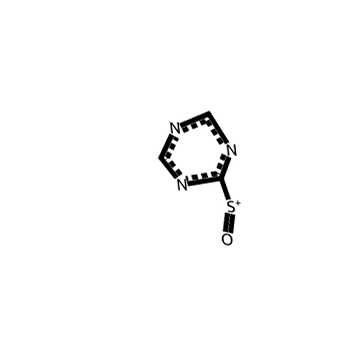 O=[S+]c1ncncn1